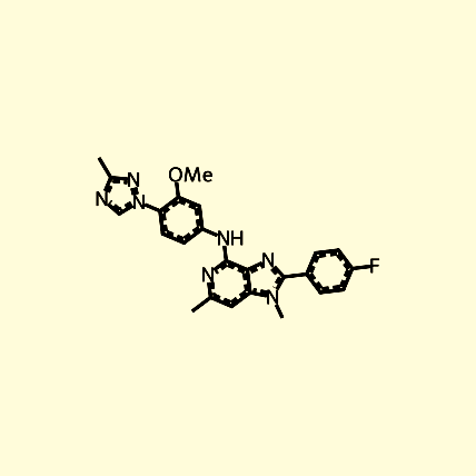 COc1cc(Nc2nc(C)cc3c2nc(-c2ccc(F)cc2)n3C)ccc1-n1cnc(C)n1